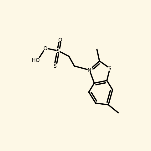 Cc1ccc2c(c1)sc(C)[n+]2CCS(=O)(=S)OO